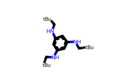 CC(C)(C)CNc1cc(NCC(C)(C)C)cc(NCC(C)(C)C)c1